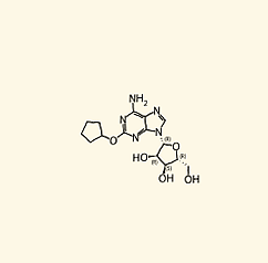 Nc1nc(OC2CCCC2)nc2c1ncn2[C@@H]1O[C@H](CO)[C@@H](O)[C@H]1O